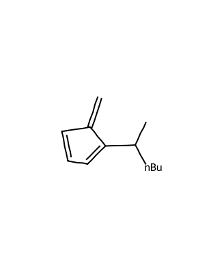 C=C1C=CC=C1C(C)CCCC